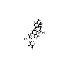 C=C(CCC(C(=O)O)[C@H]1CC[C@@]2(C)C3=C(O)C[C@H]4C(C)(C)[C@@H](O)CC[C@]4(C)C3=CC[C@]12C)C(C)C